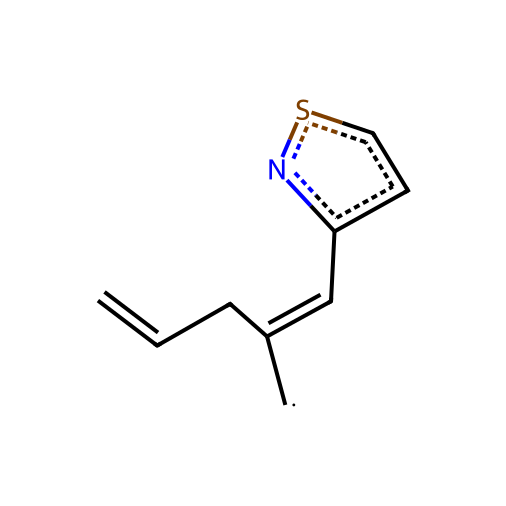 [CH2]C(=Cc1ccsn1)CC=C